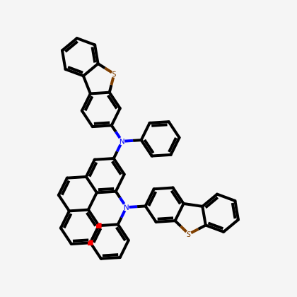 c1ccc(N(c2cc(N(c3ccccc3)c3ccc4c(c3)sc3ccccc34)c3c(ccc4ccccc43)c2)c2ccc3c(c2)sc2ccccc23)cc1